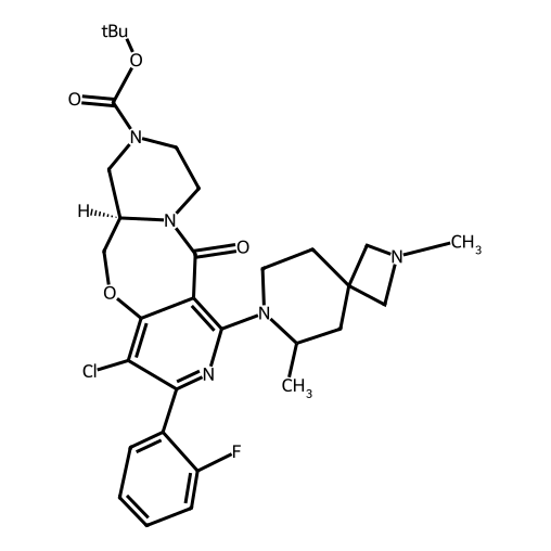 CC1CC2(CCN1c1nc(-c3ccccc3F)c(Cl)c3c1C(=O)N1CCN(C(=O)OC(C)(C)C)C[C@@H]1CO3)CN(C)C2